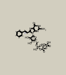 Nc1nc2c(nc(/C=C/c3ccccc3)n2[C@@H]2O[C@H](COP(=O)(O)OP(=O)(O)OP(=O)(O)O)[C@H](O)C2O)c(=O)[nH]1